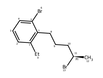 CCc1cccc(Br)c1CCC[C@@H](C)Br